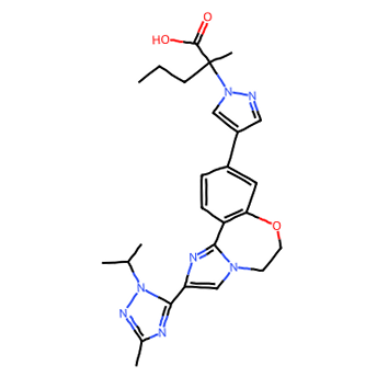 CCCC(C)(C(=O)O)n1cc(-c2ccc3c(c2)OCCn2cc(-c4nc(C)nn4C(C)C)nc2-3)cn1